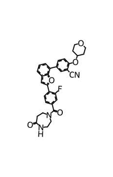 N#Cc1cc(-c2cccc3cc(-c4ccc(C(=O)N5CCNC(=O)CC5)cc4F)oc23)ccc1OC1CCOCC1